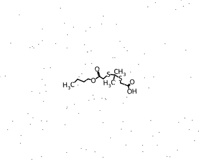 CCCCOC(=O)CSC(C)(C)SCC(=O)O